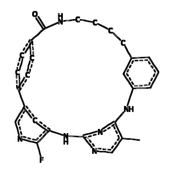 Cc1cnc2nc1Nc1cccc(c1)CCCCNC(=O)c1ccc(cc1)-c1cnc(F)c(c1)N2